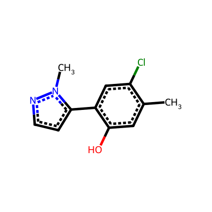 Cc1cc(O)c(-c2ccnn2C)cc1Cl